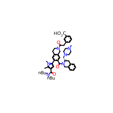 CCCCN(CCCC)C(=O)c1cc(-c2cc3c(cc2C(=O)N2Cc4ccccc4C[C@H]2CN2CCN(C)CC2)CN(C(=O)Cc2cccc(C(=O)O)c2)CC3)n(C)c1C